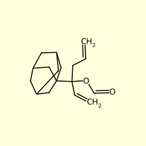 C=CCC(C=C)(OC=O)C12CC3CC(CC(C3)C1)C2